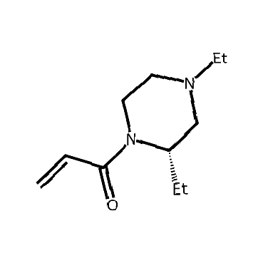 C=CC(=O)N1CCN(CC)C[C@@H]1CC